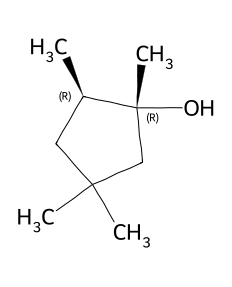 C[C@@H]1CC(C)(C)C[C@@]1(C)O